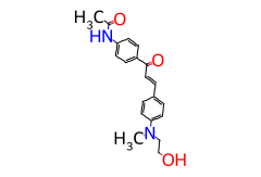 CC(=O)Nc1ccc(C(=O)/C=C/c2ccc(N(C)CCO)cc2)cc1